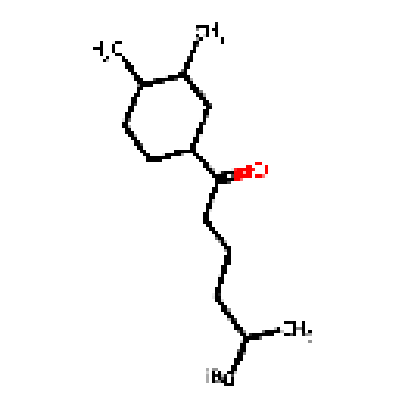 CCC(C)C(C)CCCC(=O)C1CCC(C)C(C)C1